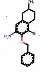 CC1CCc2c(cc(N)c(OCc3ccccc3)c2Br)C1